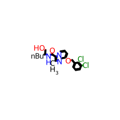 CCCCC(CO)NC(=O)c1c(C)nc2c(OCc3cccc(Cl)c3Cl)cccn12